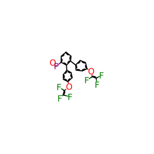 O=Pc1cccc(-c2ccc(OC(F)=C(F)F)cc2)c1-c1ccc(OC(F)=C(F)F)cc1